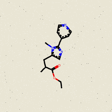 CCOC(=O)C(C)Cc1cnc(-c2ccncc2)n1C